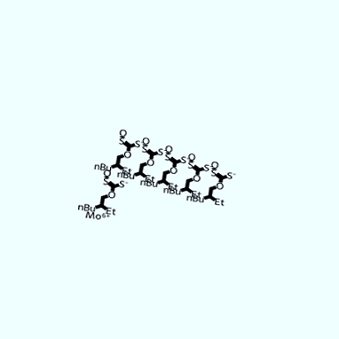 CCCCC(CC)COC([S-])=S=O.CCCCC(CC)COC([S-])=S=O.CCCCC(CC)COC([S-])=S=O.CCCCC(CC)COC([S-])=S=O.CCCCC(CC)COC([S-])=S=O.CCCCC(CC)COC([S-])=S=O.[Mo+6]